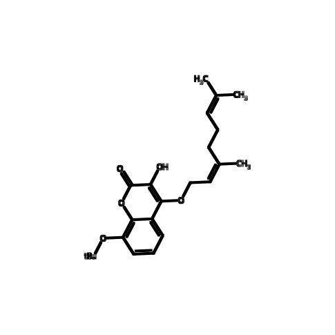 CC(C)=CCCC(C)=CCOc1c(O)c(=O)oc2c(OC(C)(C)C)cccc12